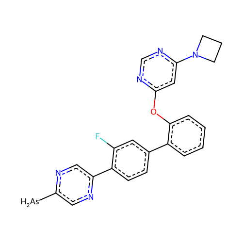 Fc1cc(-c2ccccc2Oc2cc(N3CCC3)ncn2)ccc1-c1cnc([AsH2])cn1